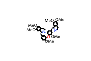 COc1cc2c(cc1OC)[C@@H](Cc1ccc(Oc3cc(C[C@@H]4c5cc(OC)c(OC)cc5CCN4C)ccc3OC)c(OC)c1)N(C)CC2